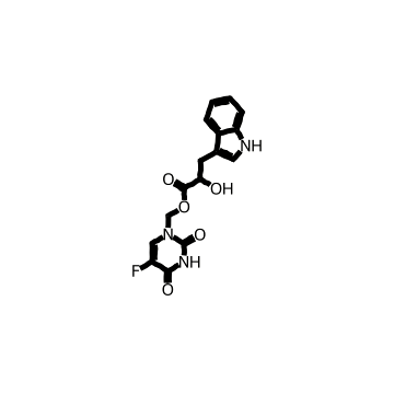 O=C(OCn1cc(F)c(=O)[nH]c1=O)C(O)Cc1c[nH]c2ccccc12